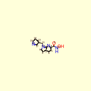 O=C(NO)c1ccc2ccn(Cc3cccnc3)c2n1